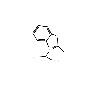 CCCCC(C(=O)O)[n+]1c(C)sc2ccccc21.[Br-]